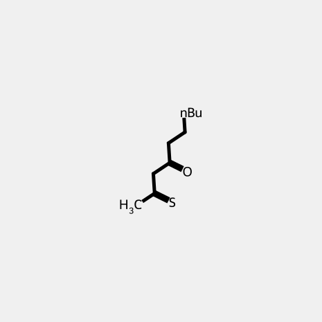 CCCCCCC(=O)CC(C)=S